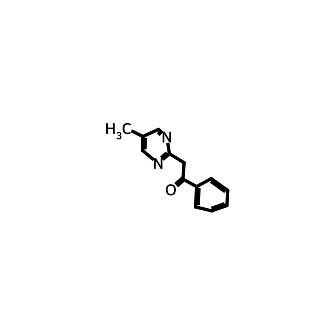 Cc1cnc(CC(=O)c2ccccc2)nc1